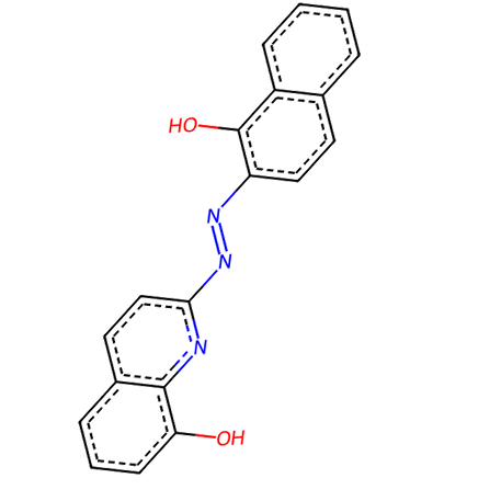 Oc1c(/N=N/c2ccc3cccc(O)c3n2)ccc2ccccc12